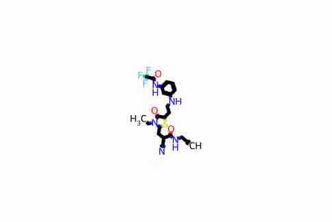 C#CCNC(=O)C(C#N)CC1SC(CCNc2cccc(NC(=O)C(F)(F)F)c2)C(=O)N1CC